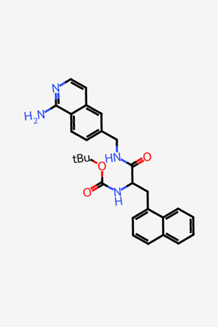 CC(C)(C)OC(=O)NC(Cc1cccc2ccccc12)C(=O)NCc1ccc2c(N)nccc2c1